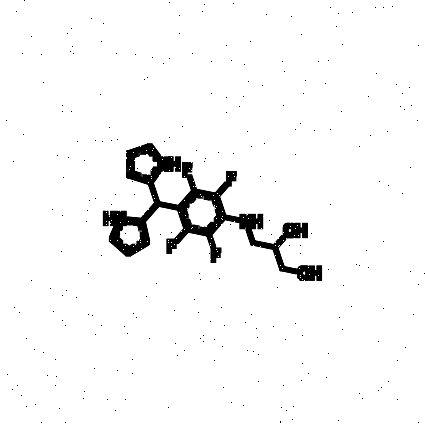 OCC(O)CNc1c(F)c(F)c(C(c2ccc[nH]2)c2ccc[nH]2)c(F)c1F